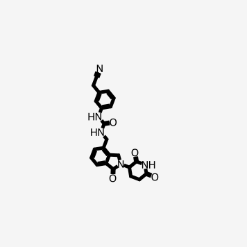 N#CCc1cccc(NC(=O)NCc2cccc3c2CN(C2CCC(=O)NC2=O)C3=O)c1